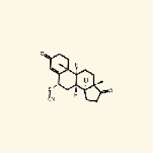 C[C@]12CCC(=O)C=C1[C@@H](SC#N)C[C@@H]1[C@@H]2CC[C@]2(C)C(=O)CC[C@@H]12